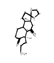 C[C@]1(CCC(=O)O)C(=O)CCC2C1C(=O)C[C@@]1(C)C2CCC12OCCO2